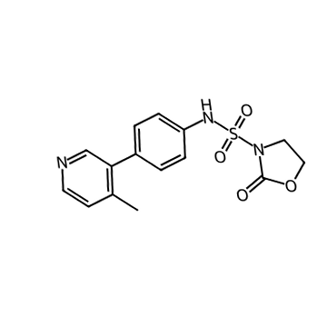 Cc1ccncc1-c1ccc(NS(=O)(=O)N2CCOC2=O)cc1